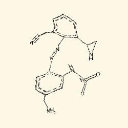 N#Cc1cccc(C2CN2)c1/N=N/c1ccc(N)cc1N[SH](=O)=O